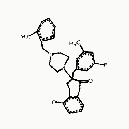 Cc1cc(F)cc(C2(N3CCN(Cc4ccccc4C)CC3)Cc3c(F)cccc3C2=O)c1